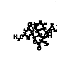 Cc1cc(C)cc(C2OC(=O)C(=S)C(O)=C2c2ccccc2CC2CC2)c1